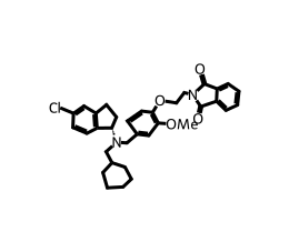 COc1cc(CN(CC2CCCCC2)[C@H]2CCc3cc(Cl)ccc32)ccc1OCCN1C(=O)c2ccccc2C1=O